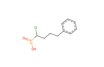 O=[PH](O)C(Cl)CCCc1ccccc1